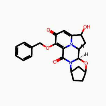 O=C1c2c(OCc3ccccc3)c(=O)cc3n2[C@H](CC3O)[C@H]2OC3CCC(C3)N12